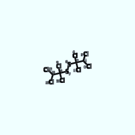 ClC(Cl)C(Cl)(Cl)SSC(Cl)(Cl)C(Cl)Cl